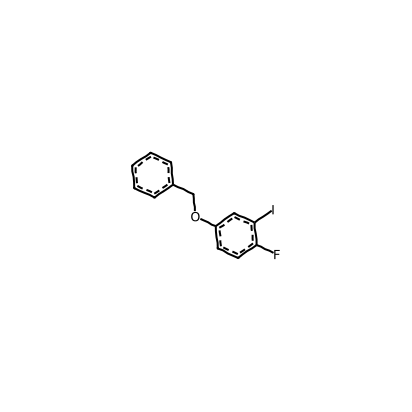 Fc1ccc(OCc2ccccc2)cc1I